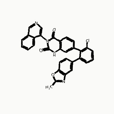 Cc1nc2cc(-c3cccc(Cl)c3-c3ccc4c(=O)n(-c5cncc6ccccc56)c(=O)[nH]c4c3)ccc2o1